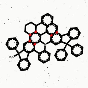 CC1(c2ccccc2)c2ccccc2-c2c(-c3ccccc3N(c3ccc4c(c3)C(c3ccccc3)(c3ccccc3)c3ccccc3-4)c3ccccc3-c3cccc4cccc(C5CCCCC5)c34)cccc21